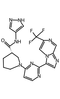 O=C(Nc1cn[nH]c1)[C@H]1CCCN(c2ccnc(-c3cnc4cnc(C(F)(F)F)cn34)n2)C1